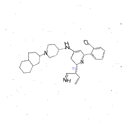 C=C/C(C=N)=C1/CC(NC2CCN(C3CCC4CCCCC4C3)CC2)=CC(c2ccccc2Cl)=N1